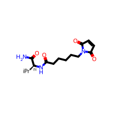 CC(C)[C@H](NC(=O)CCCCCN1C(=O)C=CC1=O)C(N)=O